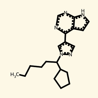 CCCCCC(C1CCCC1)n1cc(-c2ncnc3[nH]ccc23)cn1